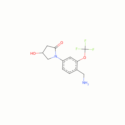 NCc1ccc(N2CC(O)CC2=O)cc1OC(F)(F)F